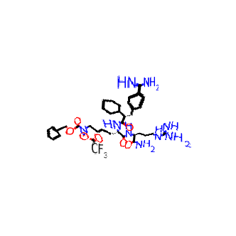 N=C(N)NCCC[C@H](NC(=O)[C@H](CCCCN(OC(=O)C(F)(F)F)C(=O)OCc1ccccc1)NC(=O)[C@@H](Cc1ccc(C(=N)N)cc1)C1CCCCC1)C(N)=O